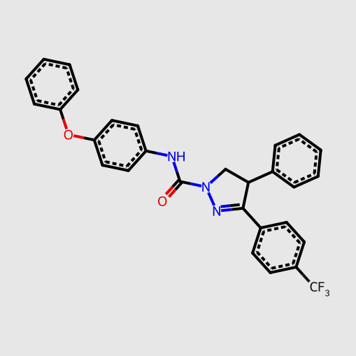 O=C(Nc1ccc(Oc2ccccc2)cc1)N1CC(c2ccccc2)C(c2ccc(C(F)(F)F)cc2)=N1